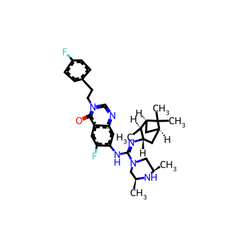 C[C@@H]1[C@@H](/N=C(/Nc2cc3ncn(CCc4ccc(F)cc4)c(=O)c3cc2F)N2C[C@@H](C)N[C@@H](C)C2)C[C@H]2C[C@@H]1C2(C)C